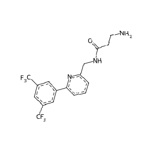 NCCC(=O)NCc1cccc(-c2cc(C(F)(F)F)cc(C(F)(F)F)c2)n1